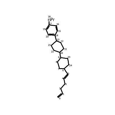 C=CCCC=CC1CCC(C2CCC(c3ccc(CCC)cc3)CC2)CC1